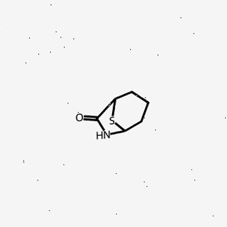 O=C1NC2CCCC1S2